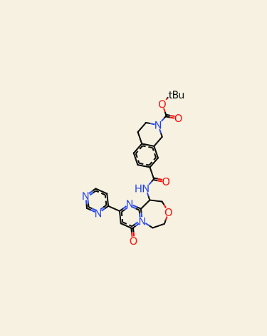 CC(C)(C)OC(=O)N1CCc2ccc(C(=O)NC3COCCn4c3nc(-c3ccncn3)cc4=O)cc2C1